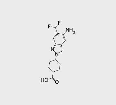 Nc1cc2cn(C3CCC(C(=O)O)CC3)nc2cc1C(F)F